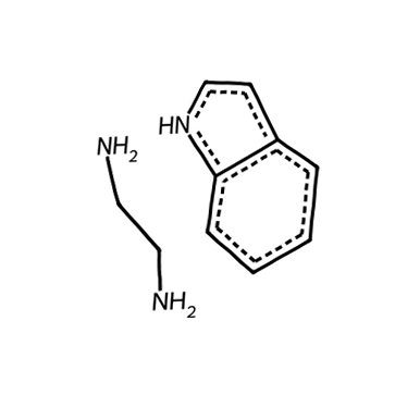 NCCN.c1ccc2[nH]ccc2c1